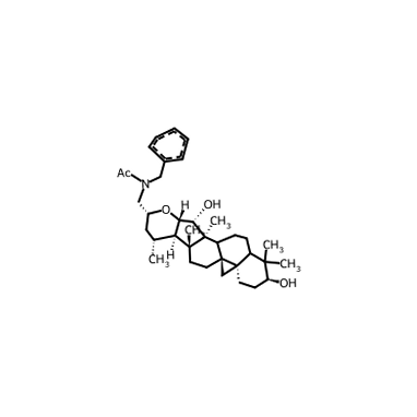 CC(=O)N(Cc1ccccc1)C[C@H]1C[C@@H](C)[C@H]2[C@H](O1)[C@H](O)[C@@]1(C)C3CCC4C(C)(C)[C@@H](O)CC[C@@]45C[C@@]35CC[C@]21C